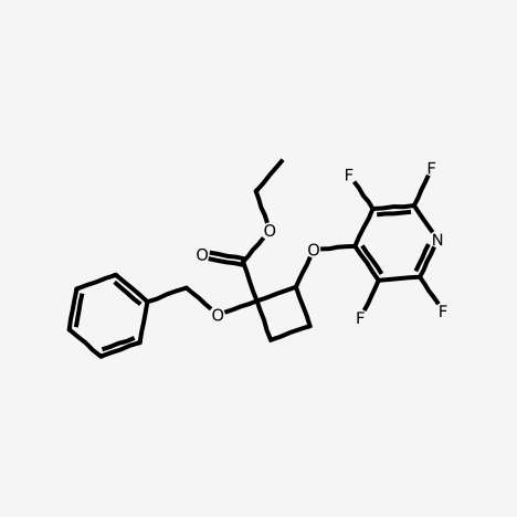 CCOC(=O)C1(OCc2ccccc2)CCC1Oc1c(F)c(F)nc(F)c1F